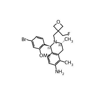 COc1cc(Br)ccc1[C@@H]1c2ccc(N)c(C)c2C[C@@H](C)N1CC1(CF)COC1